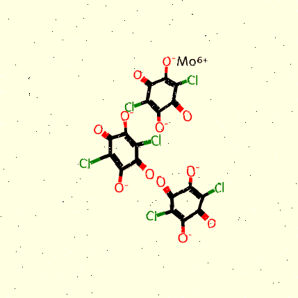 O=C1C([O-])=C(Cl)C(=O)C([O-])=C1Cl.O=C1C([O-])=C(Cl)C(=O)C([O-])=C1Cl.O=C1C([O-])=C(Cl)C(=O)C([O-])=C1Cl.[Mo+6]